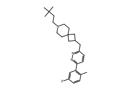 Cc1ccc(F)cc1-c1ccc(CC2CC3(CCN(CCC(C)(C)C)CC3)C2)nn1